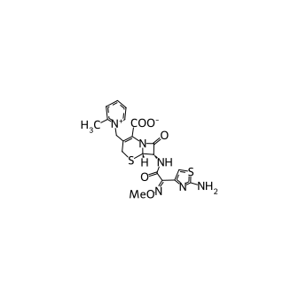 CO/N=C(\C(=O)N[C@@H]1C(=O)N2C(C(=O)[O-])=C(C[n+]3ccccc3C)CS[C@@H]12)c1csc(N)n1